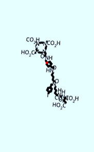 O=C(O)CC[C@@H](NC(=O)N[C@H](CCCCN(Cc1ccc(I)cc1)C(=O)CCCCNC(=O)c1ccc(CNC(=O)CN2CCN(CC(=O)O)CCN(CC(=O)O)CCN(CC(=O)O)CC2)cc1)C(=O)O)C(=O)O